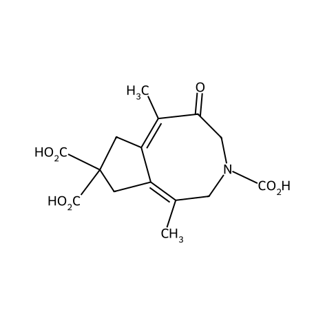 CC1=C2CC(C(=O)O)(C(=O)O)CC2=C(C)C(=O)CN(C(=O)O)C1